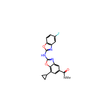 CNC(=O)c1cc(C2CC2)c2oc(Nc3nc4cc(F)ccc4o3)nc2c1